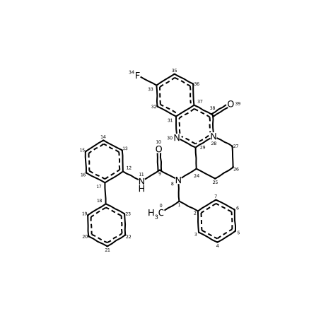 CC(c1ccccc1)N(C(=O)Nc1ccccc1-c1ccccc1)C1CCCn2c1nc1cc(F)ccc1c2=O